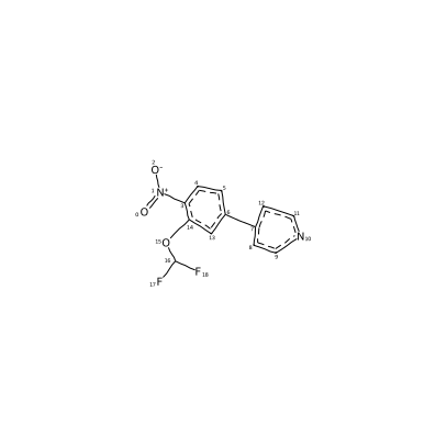 O=[N+]([O-])c1ccc(-c2ccncc2)cc1OC(F)F